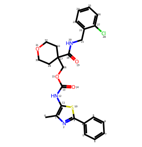 Cc1nc(-c2ccccc2)sc1NC(=O)OCC1(C(=O)NCc2ccccc2Cl)CCOCC1